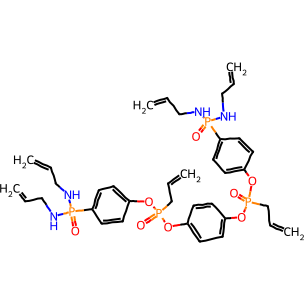 C=CCNP(=O)(NCC=C)c1ccc(OP(=O)(CC=C)Oc2ccc(OP(=O)(CC=C)Oc3ccc(P(=O)(NCC=C)NCC=C)cc3)cc2)cc1